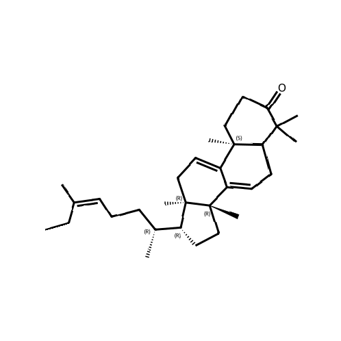 CCC(C)=CCC[C@@H](C)[C@H]1CC[C@@]2(C)C3=CCC4C(C)(C)C(=O)CC[C@]4(C)C3=CC[C@]12C